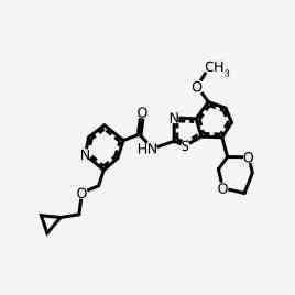 COc1ccc(C2COCCO2)c2sc(NC(=O)c3ccnc(COCC4CC4)c3)nc12